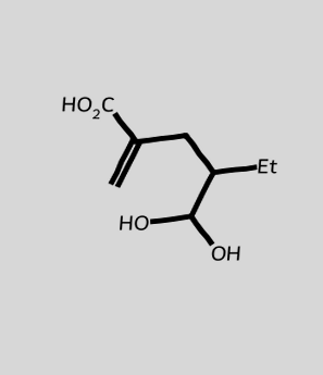 C=C(CC(CC)C(O)O)C(=O)O